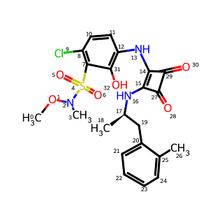 CON(C)S(=O)(=O)c1c(Cl)ccc(Nc2c(N[C@H](C)Cc3ccccc3C)c(=O)c2=O)c1O